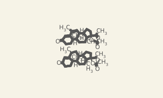 CC(=O)O[C@]1(C(C)=O)CC[C@H]2[C@@H]3C=C(C)C4=CC(=O)CC[C@]4(C)[C@H]3CC[C@@]21C.CC(=O)O[C@]1(C(C)=O)CC[C@H]2[C@@H]3C[C@H](C)C4=CC(=O)CC[C@]4(C)[C@H]3CC[C@@]21C